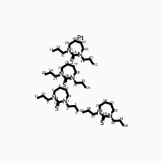 CCCN1CCCCN(CCC)C1=S.CCCN1CCCCN(CCC)C1=S.CCCN1CCCCN(CCC)C1=S.CCCN1CCCCN(CCC)C1=S.[Pt]